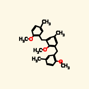 COc1ccc(C)cc1Cc1cc(C)cc(Cc2cc(C)ccc2OC)c1OC